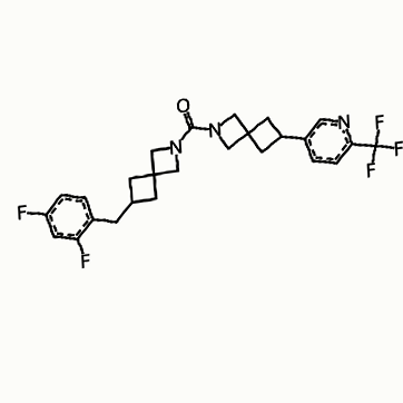 O=C(N1CC2(CC(Cc3ccc(F)cc3F)C2)C1)N1CC2(CC(c3ccc(C(F)(F)F)nc3)C2)C1